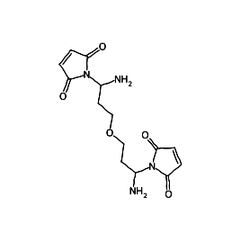 NC(CCOCCC(N)N1C(=O)C=CC1=O)N1C(=O)C=CC1=O